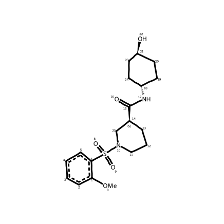 COc1ccccc1S(=O)(=O)N1CCC[C@H](C(=O)N[C@H]2CC[C@H](O)CC2)C1